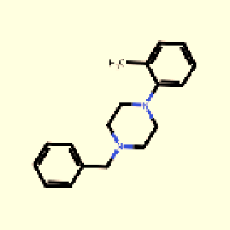 Cc1ccccc1N1CCN(Cc2ccccc2)CC1